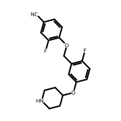 N#Cc1ccc(OCc2cc(OC3CCNCC3)ccc2F)c(F)c1